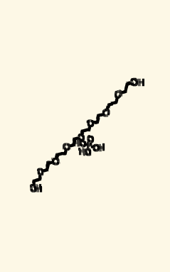 O=P(O)(O)O.OCCOCCOCCOCCOCCOCCOCCOCCO